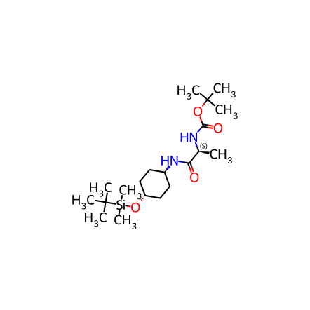 C[C@H](NC(=O)OC(C)(C)C)C(=O)N[C@H]1CC[C@H](O[Si](C)(C)C(C)(C)C)CC1